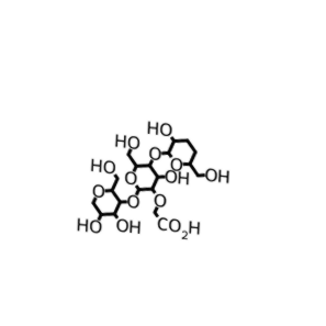 O=C(O)COC1C(OC2C(CO)OCC(O)C2O)OC(CO)C(OC2OC(CO)CCC2O)C1O